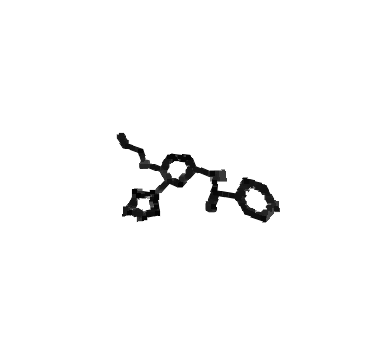 C=CCOc1ccc(NC(=O)c2ccncc2)cc1-n1cnnn1